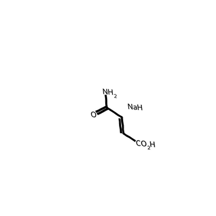 NC(=O)C=CC(=O)O.[NaH]